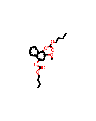 CCCCOC(=O)Oc1cc(OC)c(OC(=O)OCCCC)c2ccccc12